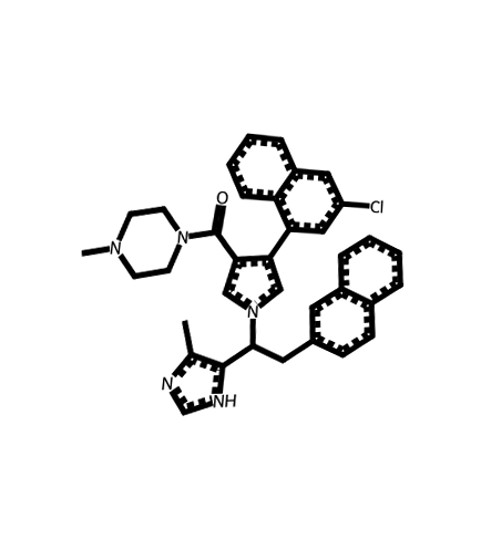 Cc1nc[nH]c1C(Cc1ccc2ccccc2c1)n1cc(C(=O)N2CCN(C)CC2)c(-c2cc(Cl)cc3ccccc23)c1